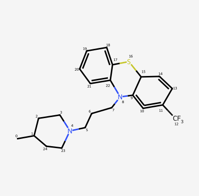 CC1CCN(CCCN2C3=C=C(C(F)(F)F)C=CC3Sc3ccccc32)CC1